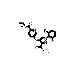 CCNC(=O)c1ccc(Nc2cn(-c3c(F)cccc3F)nc2C(N)=O)cn1